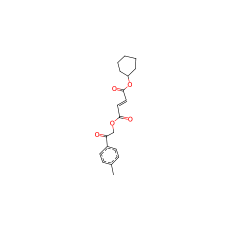 Cc1ccc(C(=O)COC(=O)/C=C/C(=O)OC2CCCCC2)cc1